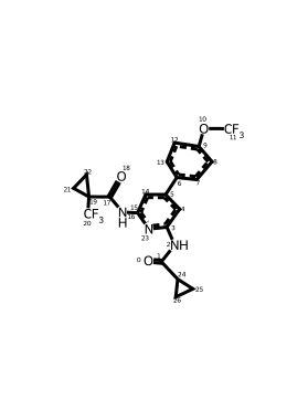 O=C(Nc1cc(-c2ccc(OC(F)(F)F)cc2)cc(NC(=O)C2(C(F)(F)F)CC2)n1)C1CC1